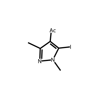 CC(=O)c1c(C)nn(C)c1I